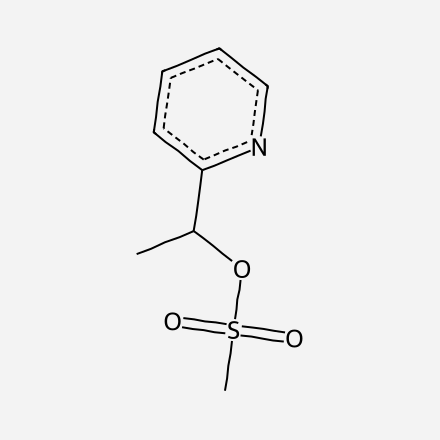 CC(OS(C)(=O)=O)c1ccccn1